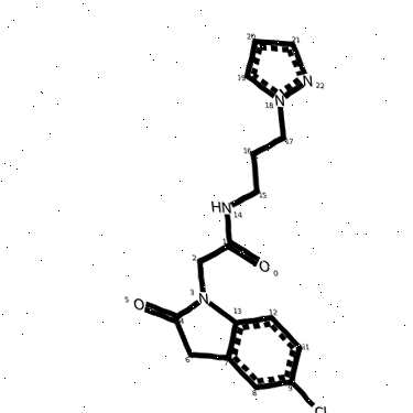 O=C(CN1C(=O)Cc2cc(Cl)ccc21)NCCCn1cccn1